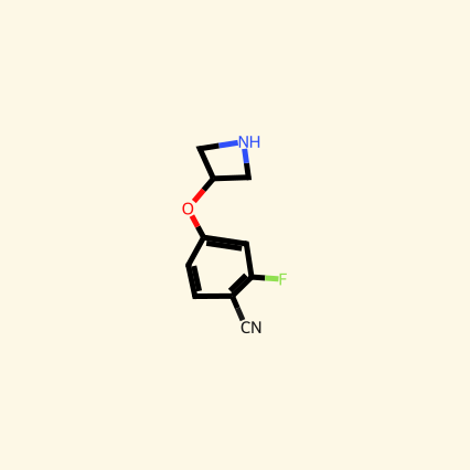 N#Cc1ccc(OC2CNC2)cc1F